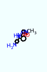 CNC(=O)OC1CCCCCC2C(c3ccc(N)cc3)=NNC(c3ccccc3)=C12